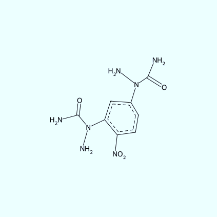 NC(=O)N(N)c1ccc([N+](=O)[O-])c(N(N)C(N)=O)c1